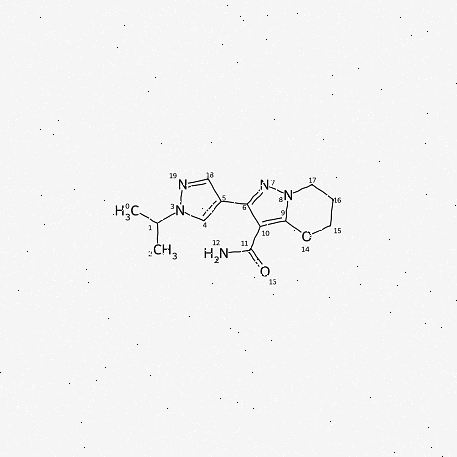 CC(C)n1cc(-c2nn3c(c2C(N)=O)OCCC3)cn1